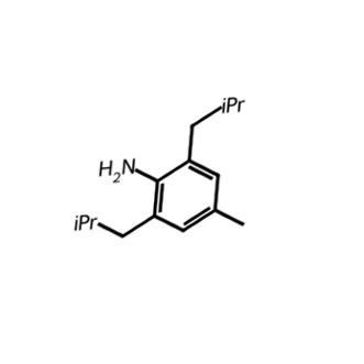 Cc1cc(CC(C)C)c(N)c(CC(C)C)c1